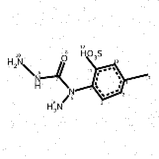 Cc1ccc(N(N)C(=O)NN)c(S(=O)(=O)O)c1